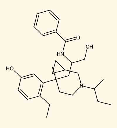 CCc1ccc(O)cc1C(C)(CCN(CC1CC1)C(C)CC)CC(CO)NC(=O)c1ccccc1